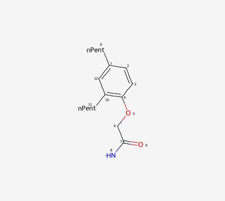 CCCCCc1ccc(OCC([NH])=O)c(CCCCC)c1